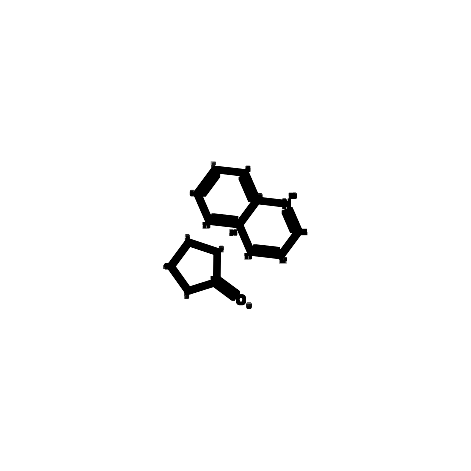 O=C1CCCC1.c1ccc2ncccc2c1